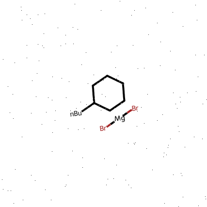 [Br][Mg][Br].[CH2]CCCC1CCCCC1